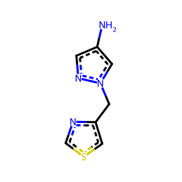 Nc1cnn(Cc2cscn2)c1